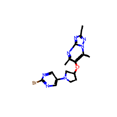 Cc1nc2nc(C)c(OC3CCN(c4cnc(Br)nc4)C3)c(C)n2n1